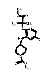 CC(C)(C)OC(=O)N1CCC(Nc2cc(Cl)cnc2SC(C)(C)C(=O)OC(C)(C)C)CC1